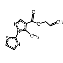 C=CCOC(=O)c1cnn(-c2nccs2)c1C